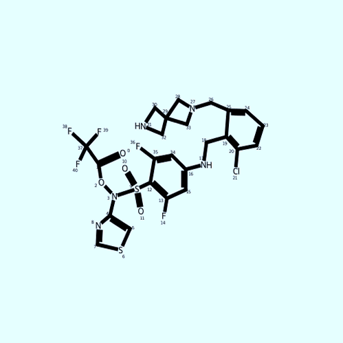 O=C(ON(c1cscn1)S(=O)(=O)c1c(F)cc(NCc2c(Cl)cccc2CN2CC3(CNC3)C2)cc1F)C(F)(F)F